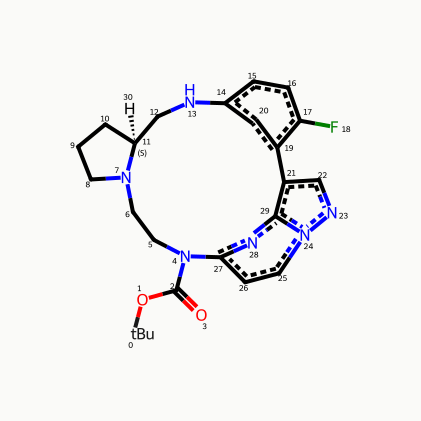 CC(C)(C)OC(=O)N1CCN2CCC[C@H]2CNc2ccc(F)c(c2)-c2cnn3ccc1nc23